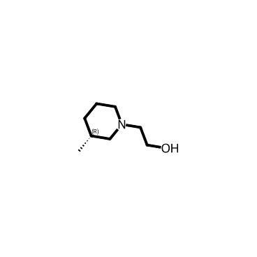 C[C@@H]1CCCN(CCO)C1